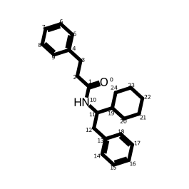 O=C(CCc1ccccc1)NC(Cc1ccccc1)C1CCCCC1